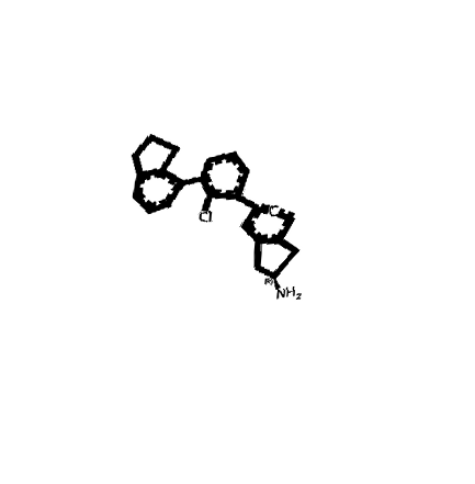 N[C@@H]1Cc2ccc(-c3cccc(-c4cccc5c4CCC5)c3Cl)cc2C1